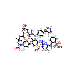 CCCC(=O)N(CC(C)(C)CC(=O)N1C[C@H](O)C[C@H]1C(=O)NCc1ccc(-c2scnc2C)cc1)N1CCC(c2cc(OC(C)C)c(Nc3ncc(Cl)c(Nc4ccccc4S(=O)(=O)C(C)C)n3)cc2C)CC1